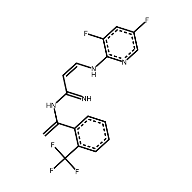 C=C(NC(=N)/C=C\Nc1ncc(F)cc1F)c1ccccc1C(F)(F)F